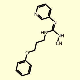 N#CNC(=Nc1cccnc1)NCCCOc1ccccc1